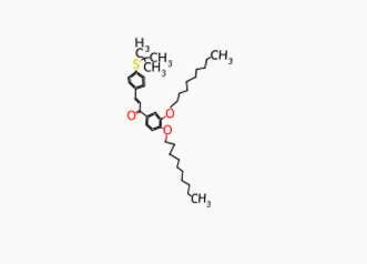 CCCCCCCCCCOc1ccc(C(=O)C=Cc2ccc(SC(C)(C)C)cc2)cc1OCCCCCCCCCC